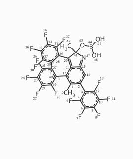 Cc1c(-c2c(F)c(F)c(F)c(F)c2F)cc2c(c1-c1c(F)c(F)c(F)c(F)c1F)=C(c1c(F)c(F)c(F)c(F)c1F)C(C)(OB(O)O)N=2